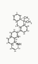 CC1(C)c2ccccc2Sc2c(-c3ccc4ccc5c(c4n3)NCC=C5)cccc21